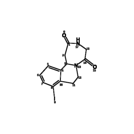 O=C1CC2c3cccc(I)c3CCN2C(=O)CN1